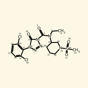 CCN(C(=O)n1nnn(-c2c(Cl)cccc2Cl)c1=O)C1CCCN(S(C)(=O)=O)C1